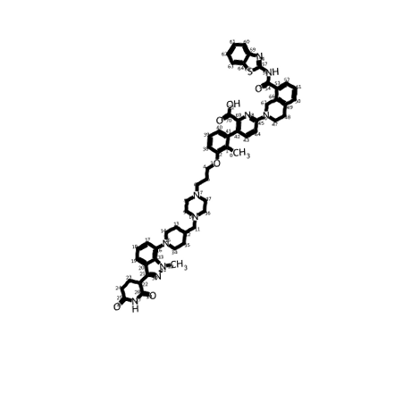 Cc1c(OCCCN2CCN(CC3CCN(c4cccc5c(C6CCC(=O)NC6=O)nn(C)c45)CC3)CC2)cccc1-c1ccc(N2CCc3cccc(C(=O)Nc4nc5ccccc5s4)c3C2)nc1C(=O)O